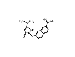 CC(C)c1cc(=O)n(Cc2ccc3ccc(C(=N)N)cc3c2)[nH]1